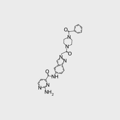 Nc1nccc(C(=O)Nc2ccc3nn(CC(=O)N4CCN(C(=O)c5ccccc5)CC4)cc3c2)n1